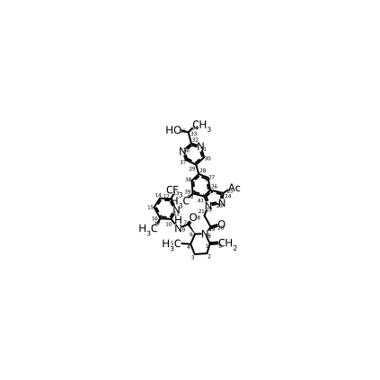 C=C1CCC(C)[C@@H](C(=O)Nc2nc(C(F)(F)F)ccc2C)N1C(=O)Cn1nc(C(C)=O)c2cc(-c3cnc(C(C)O)nc3)cc(C)c21